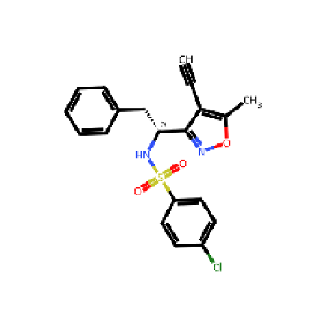 C#Cc1c([C@@H](Cc2ccccc2)NS(=O)(=O)c2ccc(Cl)cc2)noc1C